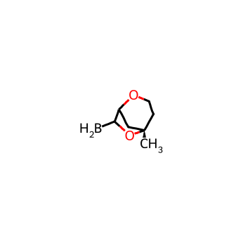 BC1O[C@@]2(C)CCOC1C2